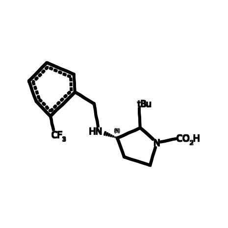 CC(C)(C)C1[C@@H](NCc2ccccc2C(F)(F)F)CCN1C(=O)O